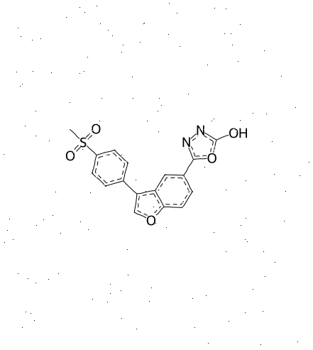 CS(=O)(=O)c1ccc(-c2coc3ccc(-c4nnc(O)o4)cc23)cc1